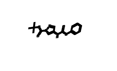 CC(C)(C)OC(=O)n1cc(NC(=O)Oc2ccccc2)cn1